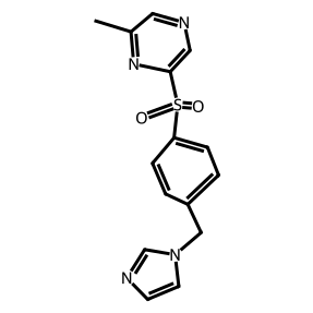 Cc1cncc(S(=O)(=O)c2ccc(Cn3ccnc3)cc2)n1